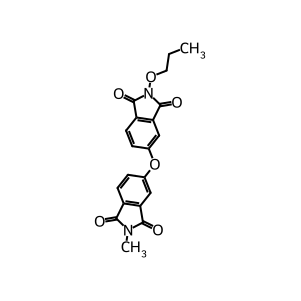 CCCON1C(=O)c2ccc(Oc3ccc4c(c3)C(=O)N(C)C4=O)cc2C1=O